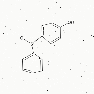 [O-][S+](c1ccccc1)c1ccc(O)cc1